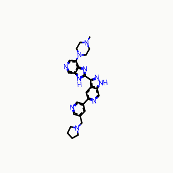 CN1CCN(c2cncc3[nH]c(-c4n[nH]c5cnc(-c6cncc(CN7CCCC7)c6)cc45)nc23)CC1